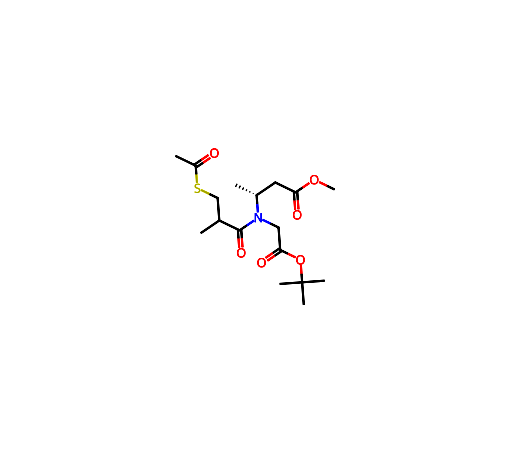 COC(=O)C[C@@H](C)N(CC(=O)OC(C)(C)C)C(=O)C(C)CSC(C)=O